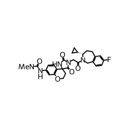 CNC(=O)Nc1ccc2c(c1)OCCC21NC(=O)N(CC(=O)N2Cc3ccc(F)cc3CC[C@H]2C2CC2)C1=O